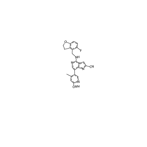 COc1cc(C)c(-c2cnc(NCc3c(F)ccc4c3CCO4)n3cc(C#N)nc23)cn1